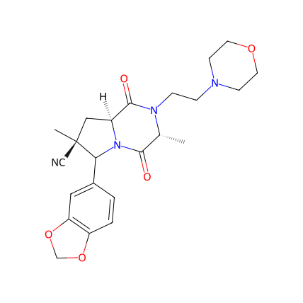 C[C@@H]1C(=O)N2C(c3ccc4c(c3)OCO4)[C@@](C)(C#N)C[C@H]2C(=O)N1CCN1CCOCC1